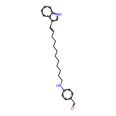 O=Cc1ccc(NCCCCCCCCCCC=Cc2c[nH]c3ccccc23)cc1